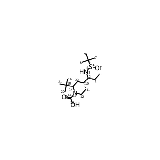 CC[C@H](N[S@+]([O-])C(C)(C)C)[C@@H]1CCN(C(=O)O)[C@@H](C(C)(C)C)C1